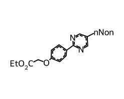 CCCCCCCCCc1cnc(-c2ccc(OCC(=O)OCC)cc2)nc1